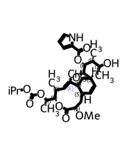 CO[C@H]1C[C@H]2C=C[C@@H]3C[C@]2(O[C@H]3[C@H](OC(=O)c2ccc[nH]2)[C@H](C)[C@H](C)O)/C(C)=C/[C@@H](C)[C@@H]([C@@H](C)OC(=O)OC(C)C)OC1=O